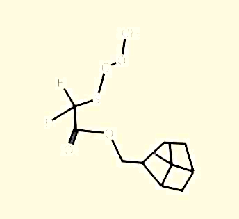 CC1(C)C2CCC(COC(=O)C(F)(F)SOOO)C1C2